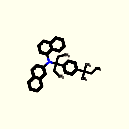 CCC(C)(C)c1ccc(C(CC)(CC)N(c2ccc3ccccc3c2)c2cccc3ccccc23)cc1